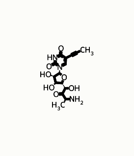 CC#Cc1cn([C@@H]2O[C@H](C(O)C(=O)[C@H](C)N)[C@@H](O)[C@@H]2O)c(=O)[nH]c1=O